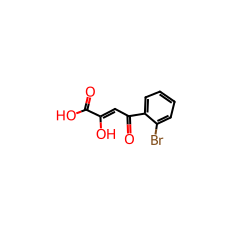 O=C(O)C(O)=CC(=O)c1ccccc1Br